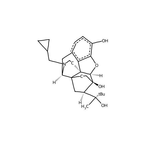 CC(C)(C)[C@@](C)(O)[C@H]1CC23CC[C@]1(O)[C@@H]1Oc4c(O)ccc5c4[C@@]12CCN(CC1CC1)[C@@H]3C5